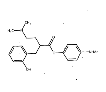 CC(=O)Nc1ccc(OC(=O)C(CCN(C)C)Cc2ccccc2O)cc1